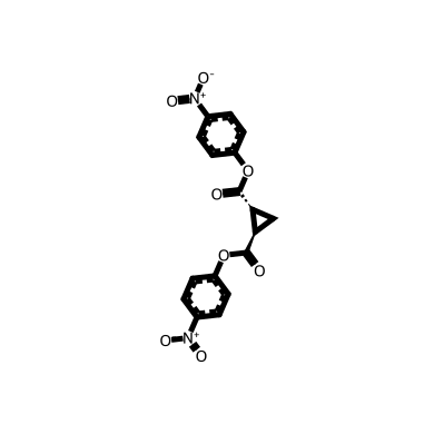 O=C(Oc1ccc([N+](=O)[O-])cc1)[C@@H]1C[C@H]1C(=O)Oc1ccc([N+](=O)[O-])cc1